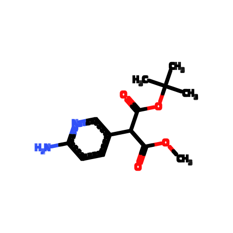 COC(=O)C(C(=O)OC(C)(C)C)c1ccc(N)nc1